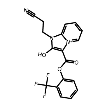 N#CCCn1c(O)c(C(=O)Oc2ccccc2C(F)(F)F)[n+]2ccccc12